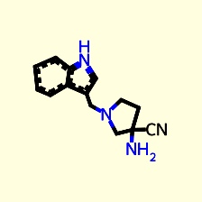 N#CC1(N)CCN(Cc2c[nH]c3ccccc23)C1